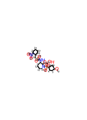 COc1ccc(S(=O)(=O)N2CC=CCC(NS(=O)(=O)Cc3ccccc3[N+](=O)[O-])C2OC(=O)O)cc1